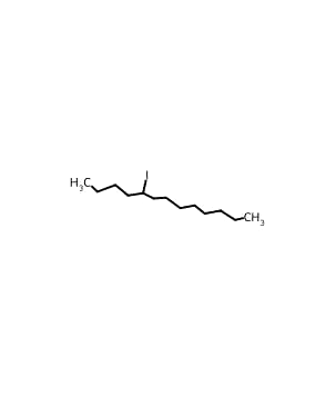 CCCCCCCCC(I)CCCC